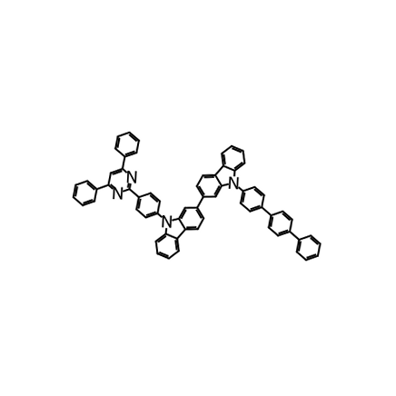 c1ccc(-c2ccc(-c3ccc(-n4c5ccccc5c5ccc(-c6ccc7c8ccccc8n(-c8ccc(-c9nc(-c%10ccccc%10)cc(-c%10ccccc%10)n9)cc8)c7c6)cc54)cc3)cc2)cc1